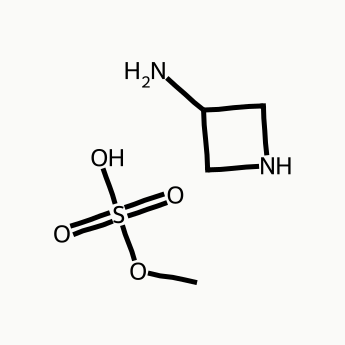 COS(=O)(=O)O.NC1CNC1